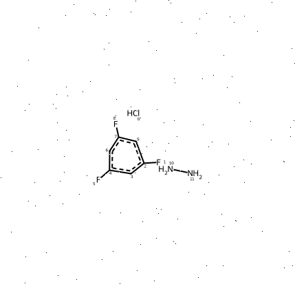 Cl.Fc1cc(F)cc(F)c1.NN